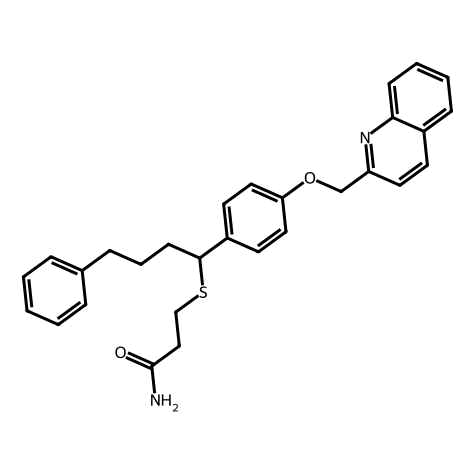 NC(=O)CCSC(CCCc1ccccc1)c1ccc(OCc2ccc3ccccc3n2)cc1